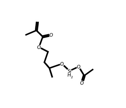 C=C(C)C(=O)OCCC(C)O[SiH2]OC(C)=O